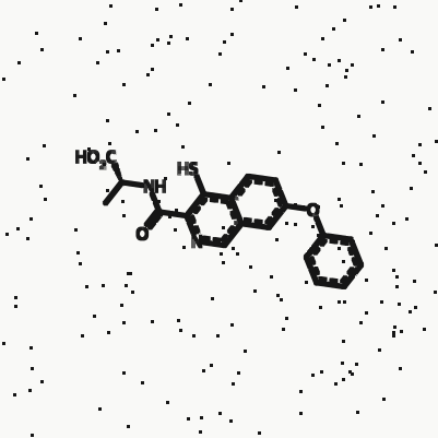 C[C@H](NC(=O)c1ncc2cc(Oc3ccccc3)ccc2c1S)C(=O)O